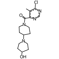 Cc1c(Cl)ncnc1C(=O)N1CCC(N2CCC(O)CC2)CC1